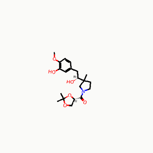 COc1ccc(C[C@@H](O)C2(C)CCN(C(=O)[C@@H]3COC(C)(C)O3)C2)cc1O